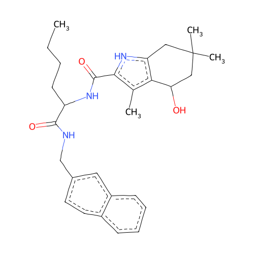 CCCCC(NC(=O)c1[nH]c2c(c1C)C(O)CC(C)(C)C2)C(=O)NCc1ccc2ccccc2c1